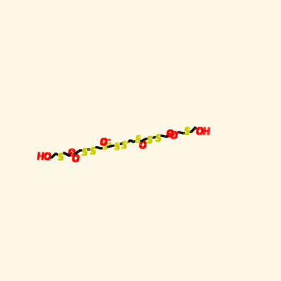 O=C(CSCSCC[S+]([O-])CCSCSCCSC(=O)CSCSCCOOCCSCCO)OCCSCCO